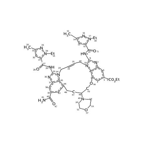 CCOC(=O)c1cc2c3c(c1)nc(NC(=O)c1cc(C)nn1CC)n3C/C=C/Cn1c(NC(=O)c3cc(C)nn3CC)nc3cc(C(N)=O)cc(c31)CCC(N1CCOCC1)CO2